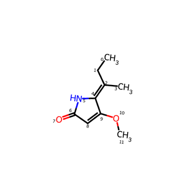 CCC(C)=C1NC(=O)C=C1OC